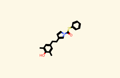 Cc1cc(CCc2ccn(C(=O)Sc3ccccc3)c2)cc(C)c1O